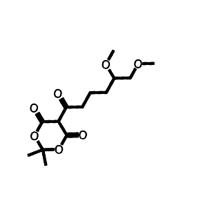 COCC(CCCC(=O)C1C(=O)OC(C)(C)OC1=O)OC